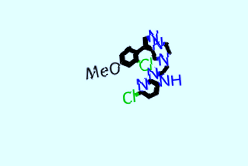 COc1ccc(-c2cnn3c2CN(Cc2nc4nc(Cl)ccc4[nH]2)CC3)c(Cl)c1